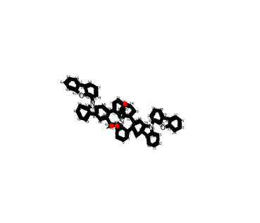 c1ccc2c(c1)-c1cc3c4ccccc4n(-c4cccc5c4oc4ccccc45)c3cc1-c1ccccc1[Si]21c2ccccc2-c2cc3c4ccccc4n(-c4cccc5c4oc4ccccc45)c3cc2-c2ccccc21